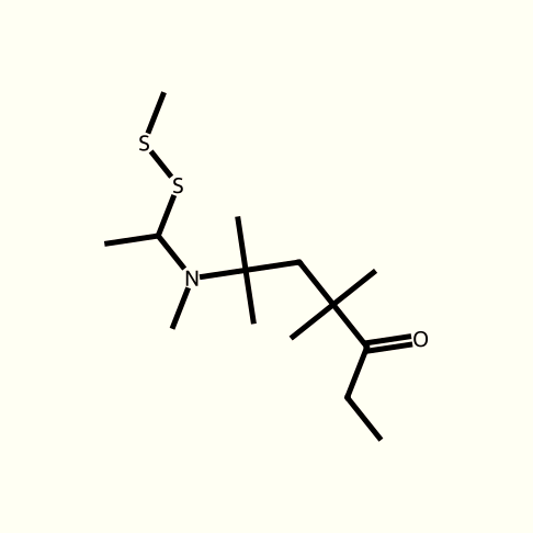 CCC(=O)C(C)(C)CC(C)(C)N(C)C(C)SSC